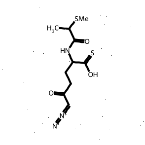 CSC(C)C(=O)NC(CCC(=O)C=[N+]=[N-])C(O)=S